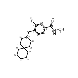 O=C(NO)c1ccc(CN2CCC3(CCCCC3)CC2)c(F)c1